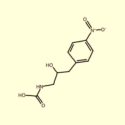 O=C(O)NCC(O)Cc1ccc([N+](=O)[O-])cc1